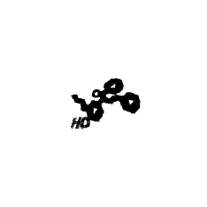 CCCCc1cc(C(CCc2ccccc2)C(=O)c2ccccc2)ccc1O